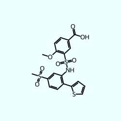 COc1ccc(C(=O)O)cc1S(=O)(=O)Nc1cc(S(C)(=O)=O)ccc1-c1cccs1